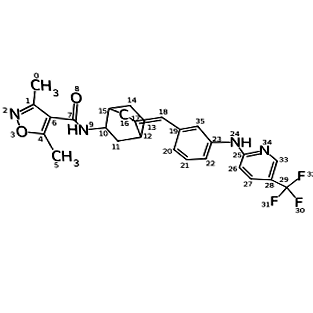 Cc1noc(C)c1C(=O)NC1CC2CCC1CC2=Cc1cccc(Nc2ccc(C(F)(F)F)cn2)c1